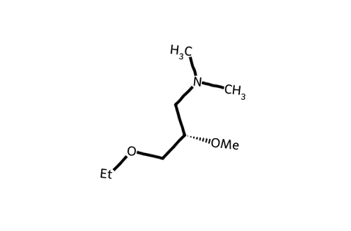 CCOC[C@H](CN(C)C)OC